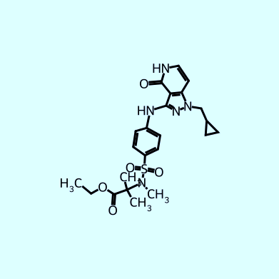 CCOC(=O)C(C)(C)N(C)S(=O)(=O)c1ccc(Nc2nn(CC3CC3)c3cc[nH]c(=O)c23)cc1